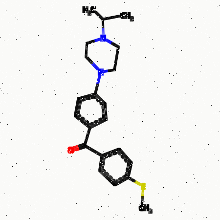 CSc1ccc(C(=O)c2ccc(N3CCN(C(C)C)CC3)cc2)cc1